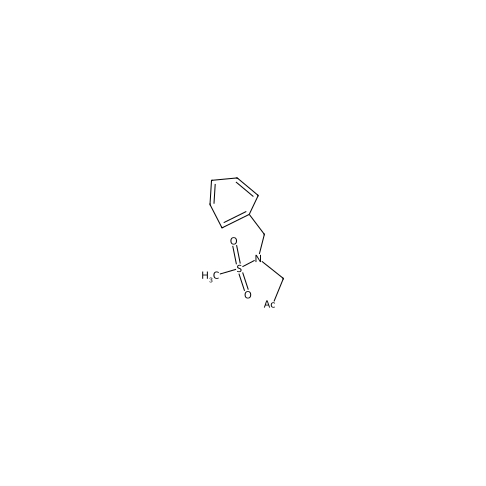 CC(=O)CN(Cc1ccccc1)S(C)(=O)=O